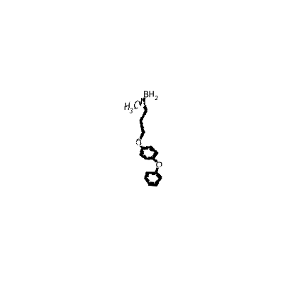 BN(C)CCCOc1ccc(Oc2ccccc2)cc1